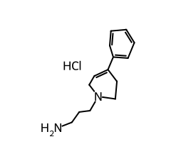 Cl.NCCCN1CC=C(c2ccccc2)CC1